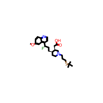 COc1ccc2nccc([C@@H](F)CC[C@@H]3CCN(CCCSC(C)(C)C)C[C@@H]3CC(=O)O)c2c1